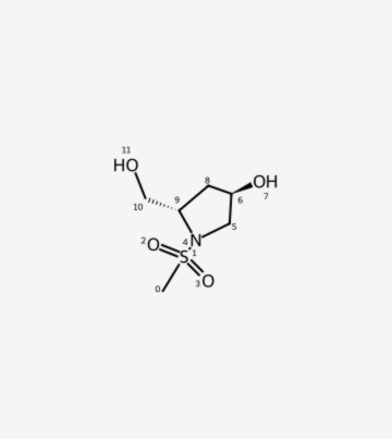 CS(=O)(=O)N1C[C@H](O)C[C@H]1CO